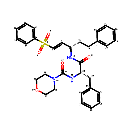 O=C(N[C@H](/C=C/S(=O)(=O)c1ccccc1)CCc1ccccc1)[C@H](Cc1ccccc1)NC(=O)N1CCOCC1